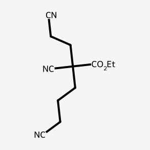 CCOC(=O)C(C#N)(CCC#N)CCCC#N